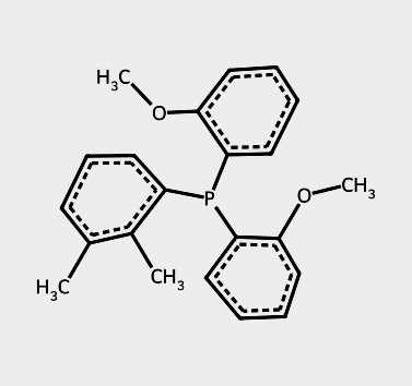 COc1ccccc1P(c1ccccc1OC)c1cccc(C)c1C